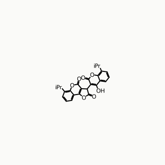 CC(C)c1cccc2c(O)c(C3C(=O)Oc4c3c(=O)oc3c(C(C)C)cccc43)c(=O)oc12